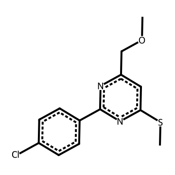 COCc1cc(SC)nc(-c2ccc(Cl)cc2)n1